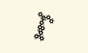 c1ccc(-c2cccc(-c3nc(-c4ccccc4)nc(-c4ccc(-c5ccc6c7c(cccc57)-c5ccc(N(c7ccccc7)c7ccccc7)cc5O6)cc4)n3)c2)cc1